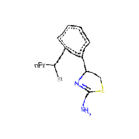 CCCC(CC)c1ccccc1C1CSC(N)=N1